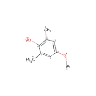 Cc1cc(OC(C)C)cc(C)c1O